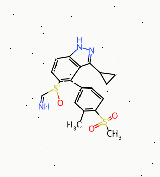 Cc1cc(-c2c([S+]([O-])C=N)ccc3[nH]nc(C4CC4)c23)ccc1S(C)(=O)=O